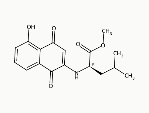 COC(=O)[C@@H](CC(C)C)NC1=CC(=O)c2c(O)cccc2C1=O